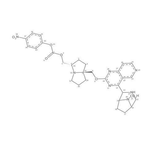 O=C(OC[C@@H]1CC[C@]2(COc3nc(C4NCC5CCC4N5C(=O)O)c4cnccc4n3)CCCN12)Oc1ccc([N+](=O)[O-])cc1